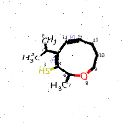 CC(C)C1=C(\S)C(C)OCCC/C=C\1